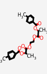 Cc1ccc(C(=O)OC(C)C(=O)OCCOC(=O)C(C)OC(=O)c2ccc(C)cc2)cc1